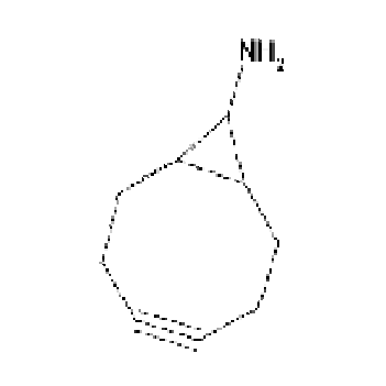 NC1C2CCC#CCCC12